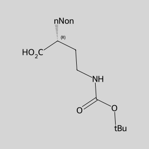 CCCCCCCCC[C@H](CCNC(=O)OC(C)(C)C)C(=O)O